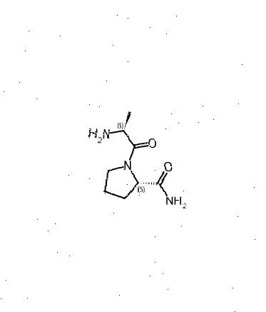 C[C@H](N)C(=O)N1CCC[C@H]1C(N)=O